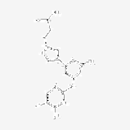 Cc1cc(Nc2ncc(F)c(C)n2)cc(-c2cnn(CCC(N)=O)c2)c1